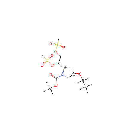 CC(C)(C)OC(=O)N1C[C@H](O[Si](C)(C)C(C)(C)C)C[C@H]1C(COS(C)(=O)=O)OS(C)(=O)=O